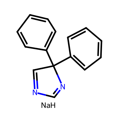 C1=NC=NC1(c1ccccc1)c1ccccc1.[NaH]